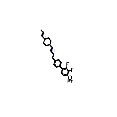 C/C=C/C1CCC(/C=C/CCc2ccc(-c3ccc(OCC)c(F)c3F)cc2)CC1